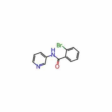 O=C(Nc1cccnc1)c1ccccc1Br